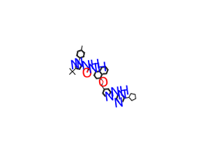 Cc1ccc(-n2nc(C(C)(C)C)cc2NC(=O)Nc2ccc(OCc3ccnc(Nc4cncc(C5CCCC5)n4)c3)c3ccccc23)cc1